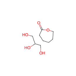 O=C1CCCCCO1.OCC(O)CO